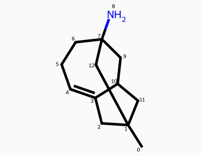 CC12CC3=CCCC(N)(CC3C1)C2